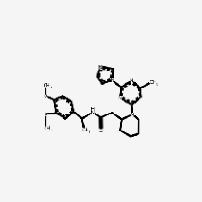 COc1ccc(C(C)NC(=O)CC2CCCCN2c2cc(C)nc(-n3ccnc3)n2)cc1OC